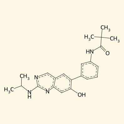 CC(C)Nc1ncc2cc(-c3cccc(NC(=O)C(C)(C)C)c3)c(O)cc2n1